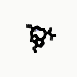 CNC(=S)N1C/C=C/[C@H](O)CC2Cc3c(ccc(OC)c3O2)C1